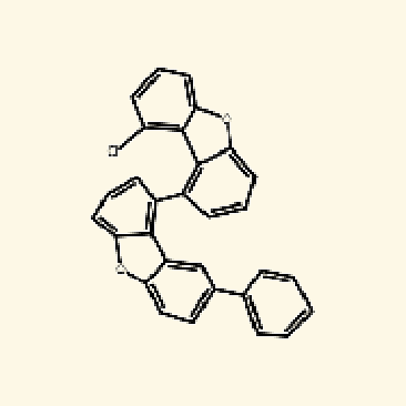 Clc1cccc2oc3cccc(-c4cccc5oc6ccc(-c7ccccc7)cc6c45)c3c12